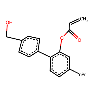 C=CC(=O)Oc1cc(CCC)ccc1-c1ccc(CO)cc1